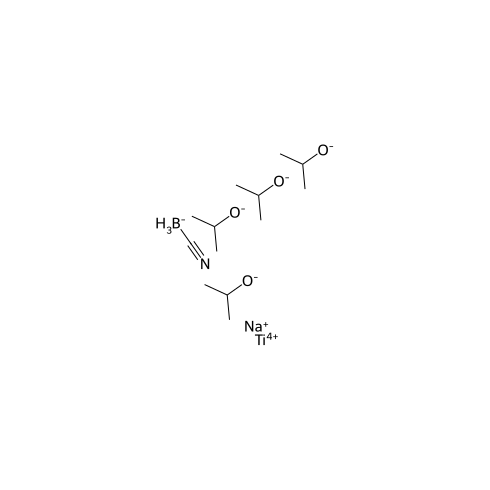 CC(C)[O-].CC(C)[O-].CC(C)[O-].CC(C)[O-].[BH3-]C#N.[Na+].[Ti+4]